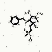 CCOP(C)(=O)CC[C@@]1(CC)O[C@@H](OC(C)=O)[C@@H](OC(C)=O)C1OCc1ccccc1